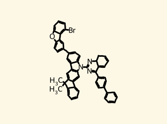 CC1(C)c2ccccc2-c2cc3c(cc21)c1cc(-c2ccc4oc5cccc(Br)c5c4c2)ccc1n3C1=NC2CC=CC=C2C(c2ccc(-c3ccccc3)cc2)=N1